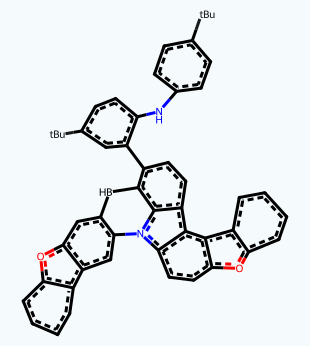 CC(C)(C)c1ccc(Nc2ccc(C(C)(C)C)cc2-c2ccc3c4c5c(ccc4n4c3c2Bc2cc3oc6ccccc6c3cc2-4)oc2ccccc25)cc1